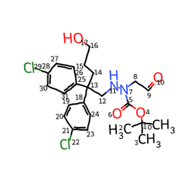 CC(C)(C)OC(=O)N(CC=O)NCC(CCCO)(c1ccc(Cl)cc1)c1ccc(Cl)cc1